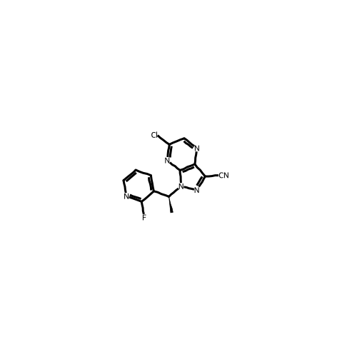 C[C@@H](c1cccnc1F)n1nc(C#N)c2ncc(Cl)nc21